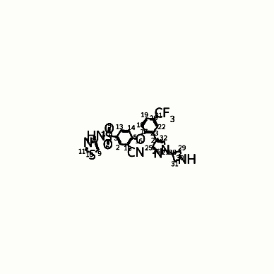 N#Cc1cc(S(=O)(=O)Nc2cscn2)ccc1Oc1ccc(C(F)(F)F)cc1-c1cnn(C2CNC2)c1